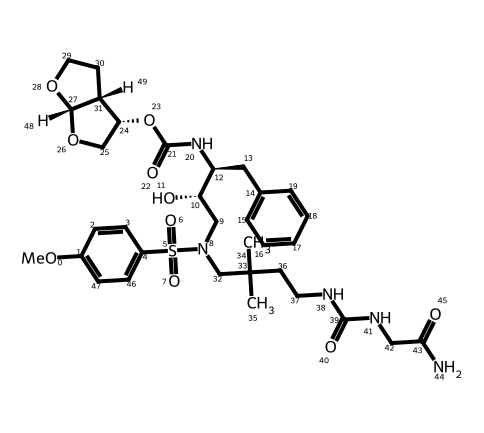 COc1ccc(S(=O)(=O)N(C[C@H](O)[C@H](Cc2ccccc2)NC(=O)O[C@@H]2CO[C@@H]3OCC[C@@H]32)CC(C)(C)CCNC(=O)NCC(N)=O)cc1